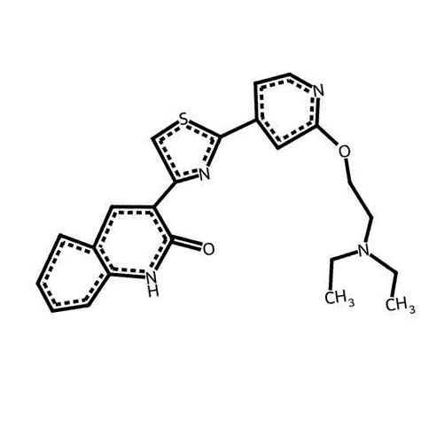 CCN(CC)CCOc1cc(-c2nc(-c3cc4ccccc4[nH]c3=O)cs2)ccn1